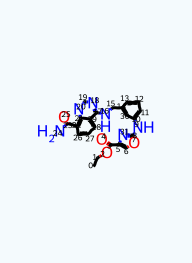 CCOC(=O)c1coc(Nc2cccc(CNc3ncnc4c(C(N)=O)cccc34)c2)n1